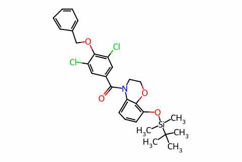 CC(C)(C)[Si](C)(C)Oc1cccc2c1OCCN2C(=O)c1cc(Cl)c(OCc2ccccc2)c(Cl)c1